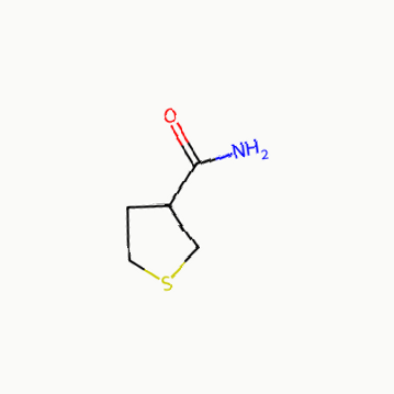 NC(=O)C1CCSC1